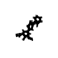 Cc1cc(-c2cnn(-c3ccccc3)c2)cc(O)c1F